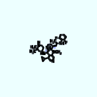 C=Nc1cncc(C2CC2)c1/C(=N\CC(/C=C\N)=C/C(=C)Nc1c(F)cccc1F)NC1CCNC(C)(C)C1